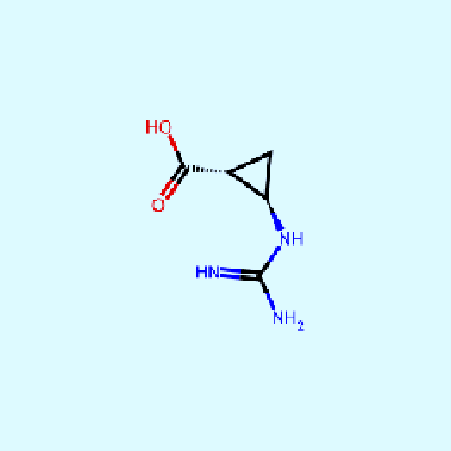 N=C(N)N[C@@H]1C[C@H]1C(=O)O